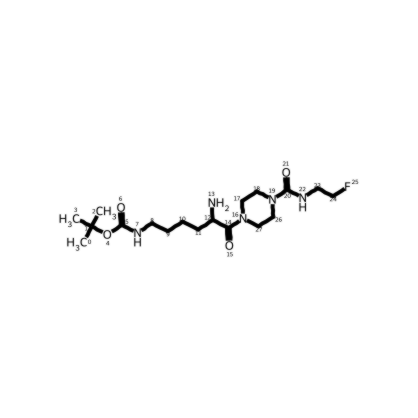 CC(C)(C)OC(=O)NCCCCC(N)C(=O)N1CCN(C(=O)NCCF)CC1